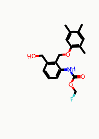 Cc1cc(C)c(OCc2c(CO)cccc2NC(=O)OCF)cc1C